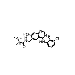 CN[C@H](C)C(=O)NCc1cc2c(Nc3cccc(Cl)c3F)ncnc2cc1O